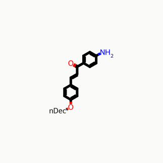 CCCCCCCCCCOc1ccc(C=CC(=O)c2ccc(N)cc2)cc1